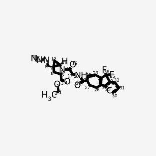 CCOC(=O)C1C[C@]2(CN=[N+]=[N-])C[C@@H]2N1C(=O)CNC(=O)C1C=CC2=C(CC1)c1ccccc1C2(F)F